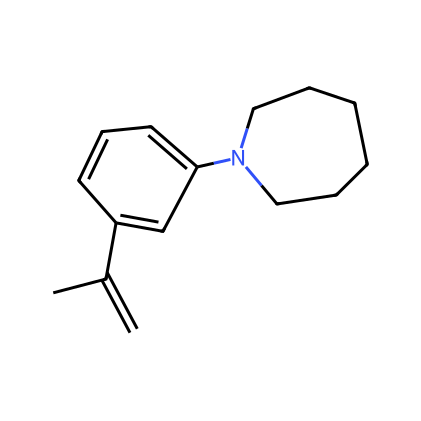 C=C(C)c1cccc(N2CCCCCC2)c1